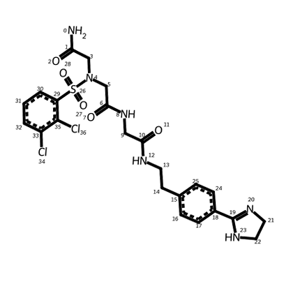 NC(=O)CN(CC(=O)NCC(=O)NCCc1ccc(C2=NCCN2)cc1)S(=O)(=O)c1cccc(Cl)c1Cl